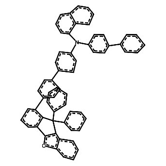 c1ccc(-c2ccc(N(c3ccc(-c4ccc(-c5cccc6c5C(c5ccccc5)(c5ccccc5)c5c-6oc6ccccc56)cc4)cc3)c3cccc4ccccc34)cc2)cc1